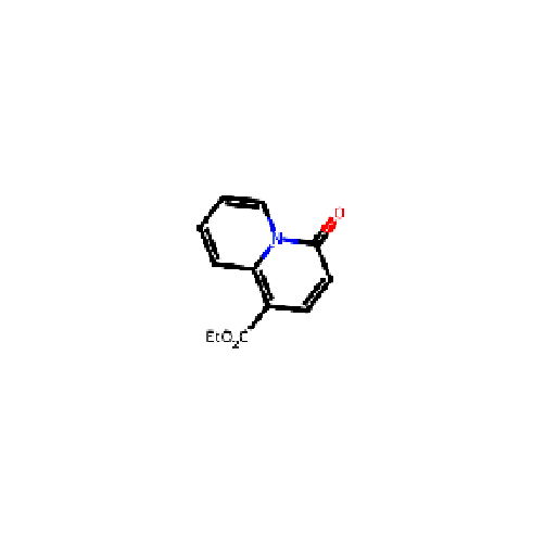 CCOC(=O)c1ccc(=O)n2ccccc12